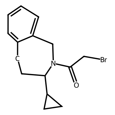 O=C(CBr)N1Cc2ccccc2CCC1C1CC1